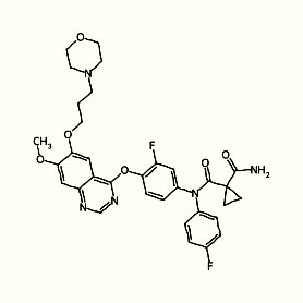 COc1cc2ncnc(Oc3ccc(N(C(=O)C4(C(N)=O)CC4)c4ccc(F)cc4)cc3F)c2cc1OCCCN1CCOCC1